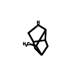 CC1C2CC3CNC1C3C2